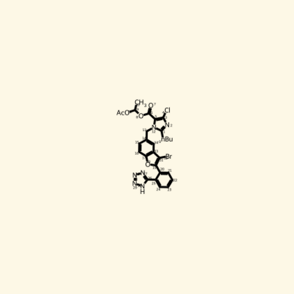 CCCCc1nc(Cl)c(C(=O)OC(C)OC(C)=O)n1Cc1ccc2oc(-c3ccccc3-c3nnn[nH]3)c(Br)c2c1